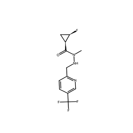 CN(NCc1ccc(C(F)(F)F)cn1)C(=O)[C@H]1C[C@H]1F